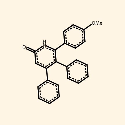 COc1ccc(-c2[nH]c(=O)cc(-c3ccccc3)c2-c2ccccc2)cc1